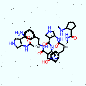 CNC1CCCC1C(=O)NC[C@H](Cc1ccc(O)cc1)C(=O)NC1CNCC1C(=O)NC1CNCC1C(=O)N[C@H](CC(=O)NC1CNCC1C(N)=O)Cc1ccccc1